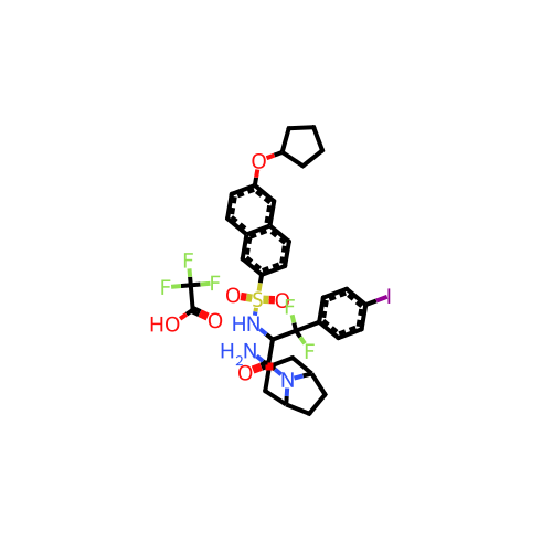 NC1CC2CCC(C1)N2C(=O)C(NS(=O)(=O)c1ccc2cc(OC3CCCC3)ccc2c1)C(F)(F)c1ccc(I)cc1.O=C(O)C(F)(F)F